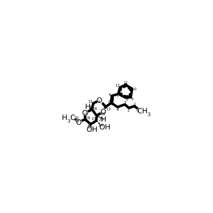 CCCCCC(=Cc1ccccc1)C1OC[C@H]2OC(OC)[C@H](O)[C@@H](O)[C@@H]2O1